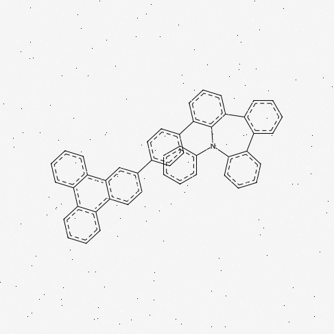 c1ccc(N2c3ccccc3-c3ccccc3-c3cccc(-c4ccc(-c5ccc6c7ccccc7c7ccccc7c6c5)cc4)c32)cc1